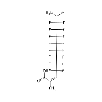 CC(=CC(F)(F)C(F)(F)C(F)(F)C(F)(F)C(F)(F)C(F)(F)C(F)(F)C(F)(F)C(C)F)C(=O)O